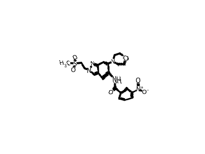 CS(=O)(=O)CCn1cc2cc(NC(=O)c3cccc([N+](=O)[O-])c3)c(N3CCOCC3)cc2n1